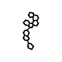 c1ccc(-c2ccc3ccc(-c4cc5ccc6ccc7ccccc7c6c5c5ccccc45)cc3c2)cc1